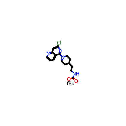 CC(C)(C)OC(=O)NCCC1CCN(c2nc(Cl)cc3ncccc23)CC1